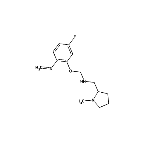 C=Nc1ccc(F)cc1OCNCC1CCCN1C